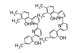 Cc1ccc(-c2cccc(-c3cccc(-c4ccc(C)c(C)c4O)n3)n2)c(O)c1.Cc1ccc(-c2cccc(-c3cccc(-c4ccc(C)c(C)c4O)n3)n2)c(O)c1